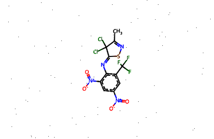 CC1=NSC(=Nc2c([N+](=O)[O-])cc([N+](=O)[O-])cc2C(F)(F)F)C1(Cl)Cl